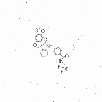 O=C(NCC(F)(F)F)c1ccc(CN2C(=O)C3(COc4cc5c(cc43)OCO5)c3ccccc32)cc1